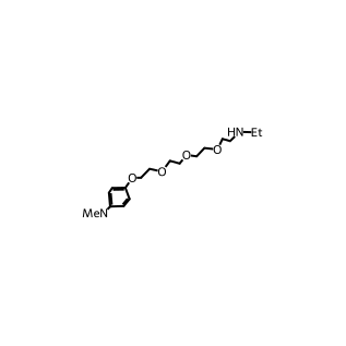 CCNCCOCCOCCOCCOc1ccc(NC)cc1